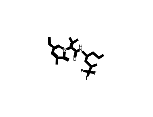 C=C1C(C)=CC(CC)=CN1C(C(=O)NC(CCC)CC(C)C(F)(F)F)=C(C)C